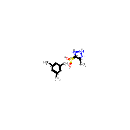 Cc1cc(C)cc(C)c1.O=[N+]([O-])c1n[nH][nH]c1=S(=O)=O